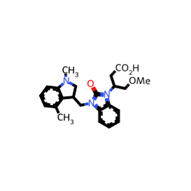 COCC(CC(=O)O)n1c(=O)n(CC2CN(C)c3cccc(C)c32)c2ccccc21